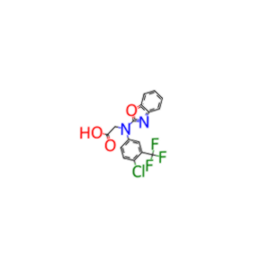 O=C(O)CN(c1ccc(Cl)c(C(F)(F)F)c1)c1nc2ccccc2o1